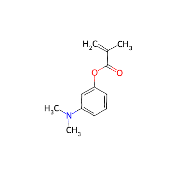 C=C(C)C(=O)Oc1cccc(N(C)C)c1